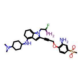 CN(C)C1CCC(NC2=c3cc(C#CCOc4ccc(S(C)(=O)=O)cc4N)n(CC(F)P)c3=CCC2)CC1